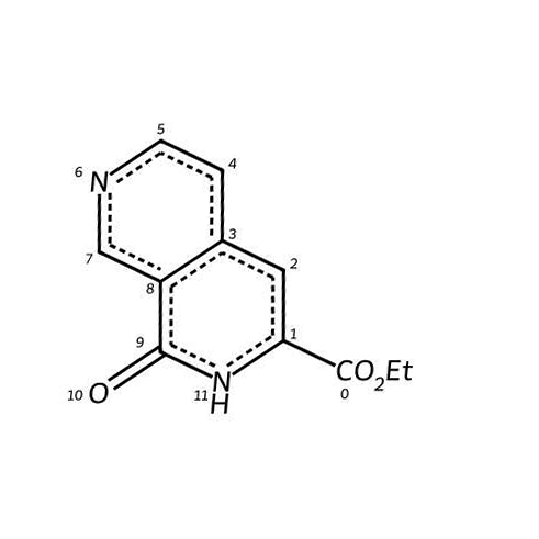 CCOC(=O)c1cc2ccncc2c(=O)[nH]1